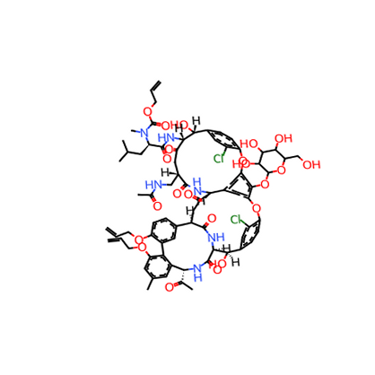 C=CCOC(=O)N(C)[C@H](CC(C)C)C(=O)N[C@H]1C(=O)C[C@@H](CNC(C)=O)C(=O)N[C@H]2C(=O)C[C@H]3C(=O)N[C@H](C(=O)N[C@H](C(C)=O)c4cc(C)cc(OCC=C)c4-c4cc3ccc4OCC=C)[C@H](O)c3ccc(c(Cl)c3)Oc3cc2cc(c3OC2OC(CO)C(O)C(O)C2O)Oc2ccc(cc2Cl)[C@H]1O